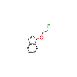 FCCOC1C=Cc2c[c]ccc21